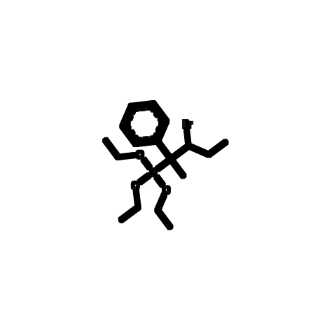 CCO[Si](OCC)(OCC)C(C)(c1ccccc1)C(Br)CC